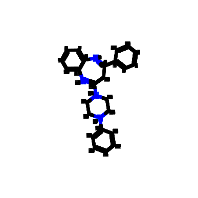 c1ccc(C2=Nc3ccccc3N=C(N3CCN(c4ccccc4)CC3)C2)cc1